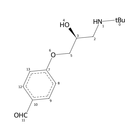 CC(C)(C)NC[C@H](O)COc1ccc(C=O)cc1